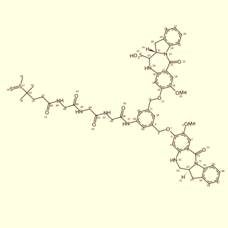 COc1cc2c(cc1OCc1cc(COc3cc4c(cc3OC)C(=O)N3c5ccccc5C[C@H]3C(S(=O)(=O)O)N4)cc(NC(=O)CNC(=O)CNC(=O)CNC(=O)CCC(C)(C)S(C)=S)c1)NC[C@@H]1Cc3ccccc3N1C2=O